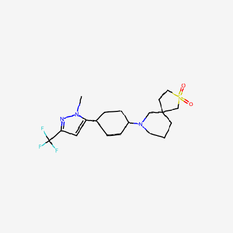 Cn1nc(C(F)(F)F)cc1C1CCC(N2CCCC3(CCS(=O)(=O)C3)C2)CC1